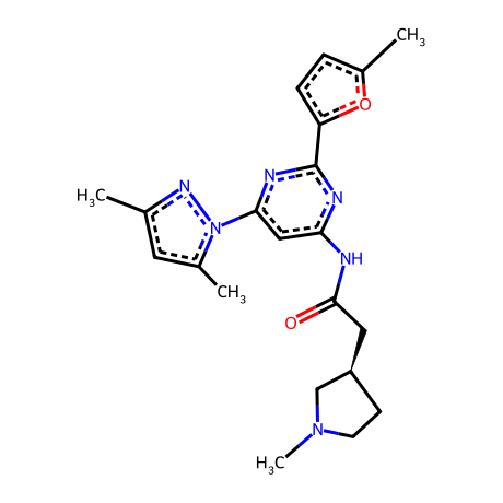 Cc1cc(C)n(-c2cc(NC(=O)C[C@H]3CCN(C)C3)nc(-c3ccc(C)o3)n2)n1